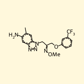 CON=C(COc1cccc(C(F)(F)F)c1)Cn1nnc2cc(N)c(C)cc21